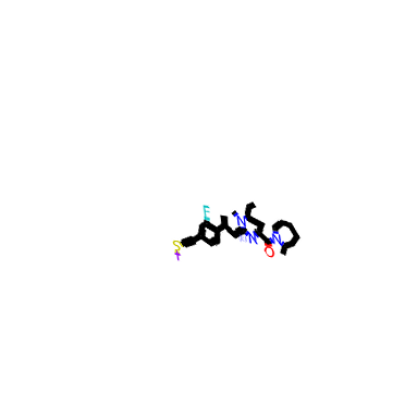 C=C(/C=C1/N=C(C(=O)N2CCCCCC2C)C=C(CC)N1C)c1ccc(C#CSI)cc1F